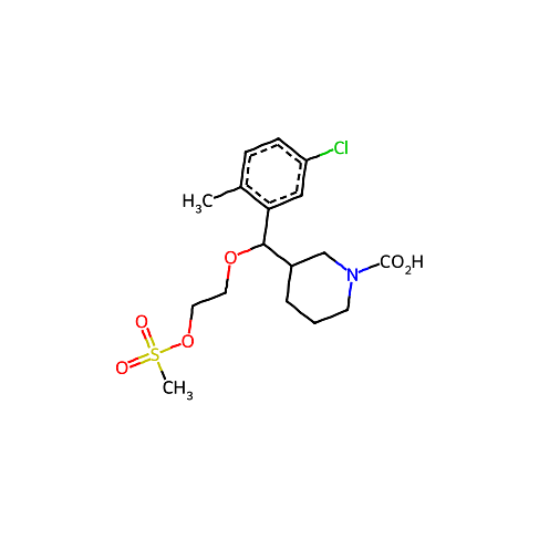 Cc1ccc(Cl)cc1C(OCCOS(C)(=O)=O)C1CCCN(C(=O)O)C1